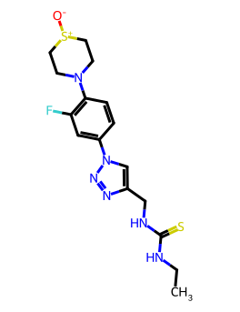 CCNC(=S)NCc1cn(-c2ccc(N3CC[S+]([O-])CC3)c(F)c2)nn1